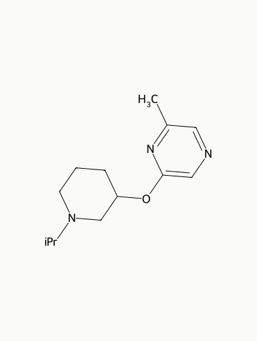 Cc1cncc(OC2CCCN(C(C)C)C2)n1